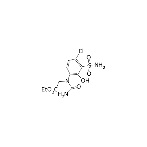 CCOC(=O)CN(C(N)=O)c1ccc(Cl)c(S(N)(=O)=O)c1O